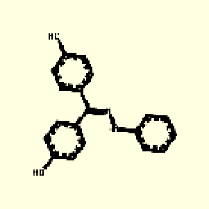 Oc1ccc(C(=NNc2ccccc2)c2ccc(O)cc2)cc1